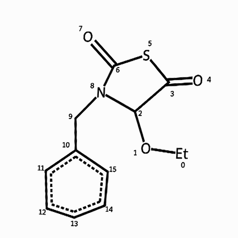 CCOC1C(=O)SC(=O)N1Cc1ccccc1